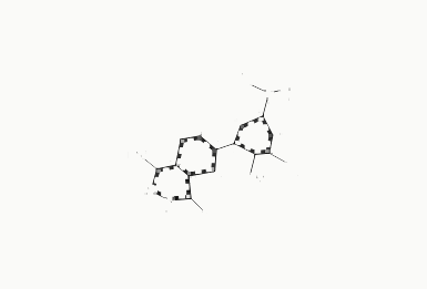 COc1c(-c2ccc3c(N)nnc(C)c3c2)cc(B(O)O)cc1C(F)(F)F